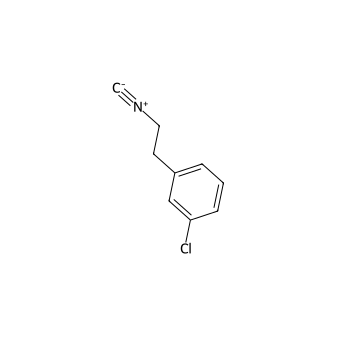 [C-]#[N+]CCc1cccc(Cl)c1